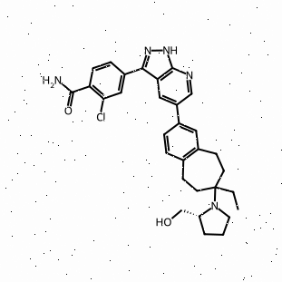 CCC1(N2CCC[C@@H]2CO)CCc2ccc(-c3cnc4[nH]nc(-c5ccc(C(N)=O)c(Cl)c5)c4c3)cc2CC1